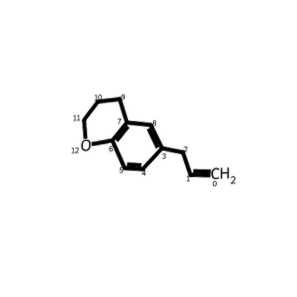 C=CCc1ccc2c(c1)CCCO2